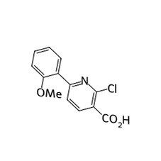 COc1ccccc1-c1ccc(C(=O)O)c(Cl)n1